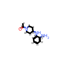 CC(=O)N1CCC(Nc2ccccc2N)CC1